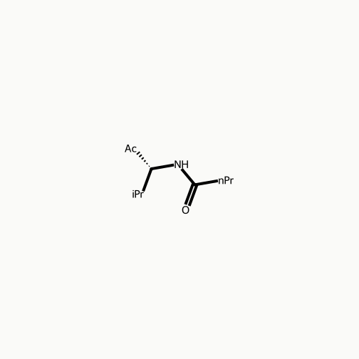 CCCC(=O)N[C@@H](C(C)=O)C(C)C